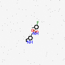 Cc1cc(F)ccc1S(=O)(=O)NCc1ccc2[nH]ccc2c1